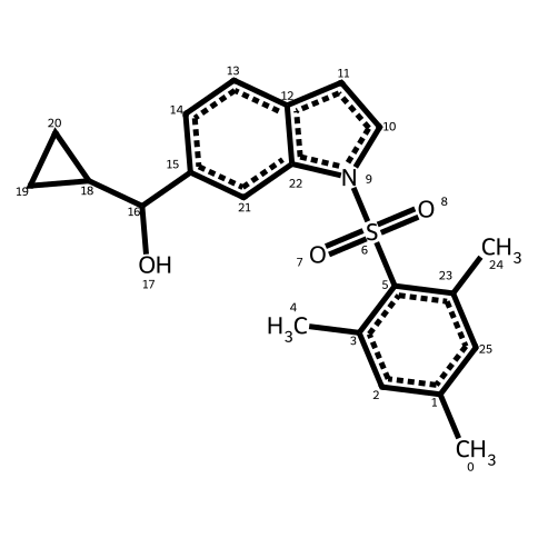 Cc1cc(C)c(S(=O)(=O)n2ccc3ccc(C(O)C4CC4)cc32)c(C)c1